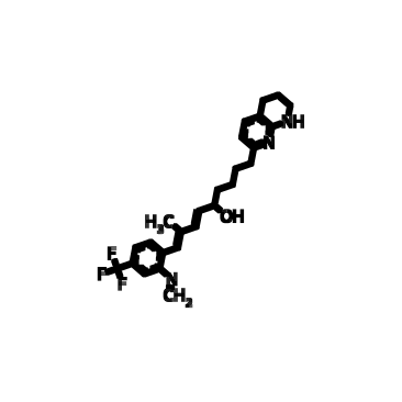 C=Nc1cc(C(F)(F)F)ccc1/C=C(C)/C=C/C(O)CCCCc1ccc2c(n1)NCCC2